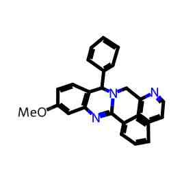 COc1ccc2c(c1)N=C(c1ccccc1)N(Cc1ccccn1)C2c1ccccc1